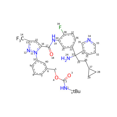 CC(C)(C)NC(=O)OCc1cccc(-n2nc(C(F)(F)F)cc2C(=O)Nc2cc(C(N)(CCC3CC3)c3cccnc3)ccc2F)c1